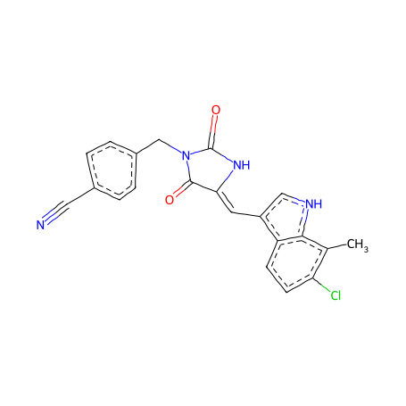 Cc1c(Cl)ccc2c(/C=C3\NC(=O)N(Cc4ccc(C#N)cc4)C3=O)c[nH]c12